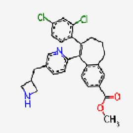 COC(=O)c1ccc2c(c1)CCCC(c1ccc(Cl)cc1Cl)=C2c1ccc(CC2CNC2)cn1